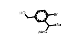 COC(c1cc(CO)ccc1Br)C(C)(C)C